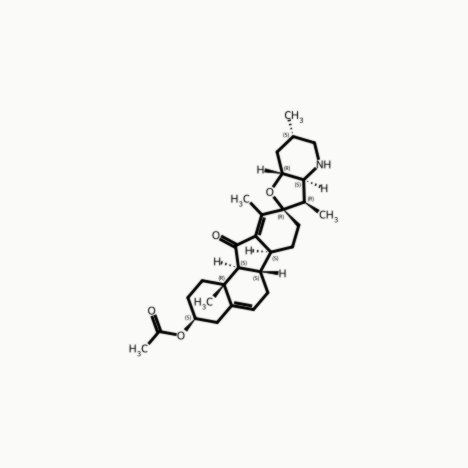 CC(=O)O[C@H]1CC[C@@]2(C)C(=CC[C@H]3[C@@H]4CC[C@]5(O[C@@H]6C[C@H](C)CN[C@H]6[C@H]5C)C(C)=C4C(=O)[C@@H]32)C1